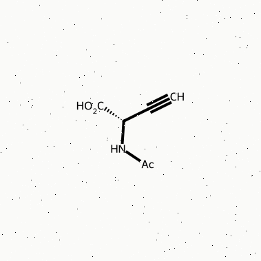 C#C[C@H](NC(C)=O)C(=O)O